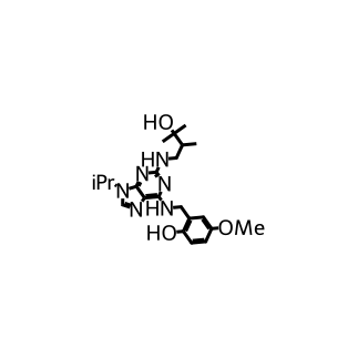 COc1ccc(O)c(CNc2nc(NCC(C)C(C)(C)O)nc3c2ncn3C(C)C)c1